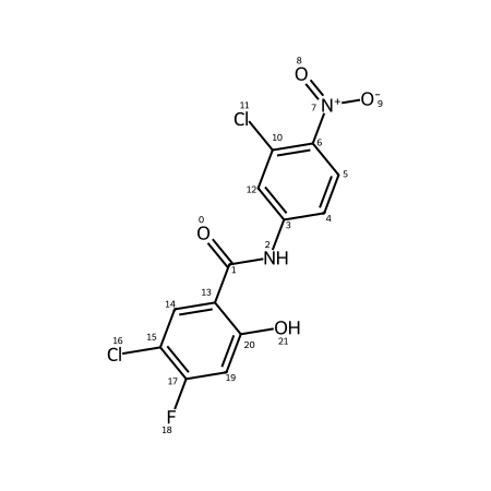 O=C(Nc1ccc([N+](=O)[O-])c(Cl)c1)c1cc(Cl)c(F)cc1O